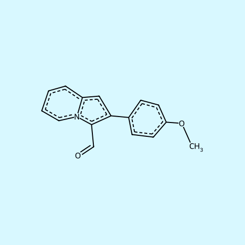 COc1ccc(-c2cc3ccccn3c2C=O)cc1